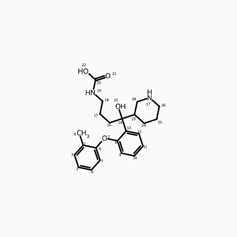 Cc1ccccc1Oc1ccccc1C(O)(CCCNC(=O)O)C1CCCNC1